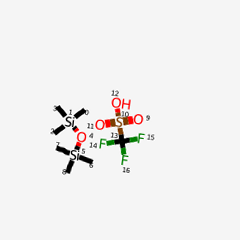 C[Si](C)(C)O[Si](C)(C)C.O=S(=O)(O)C(F)(F)F